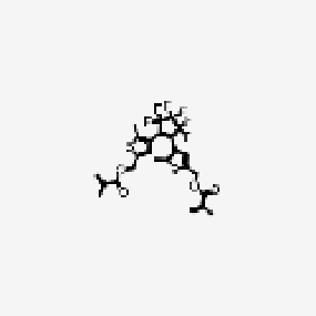 C=C(C)C(=O)OCc1cc(C2=C(c3cc(COC(=O)C(=C)C)sc3C)C(F)(F)C(F)(F)C2(F)F)c(C)s1